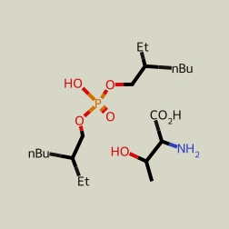 CC(O)C(N)C(=O)O.CCCCC(CC)COP(=O)(O)OCC(CC)CCCC